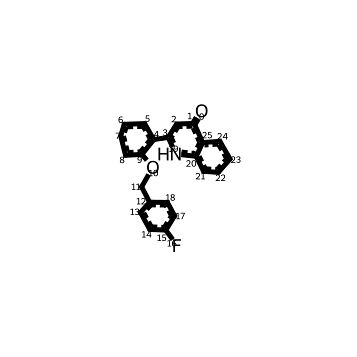 O=c1cc(-c2ccccc2OCc2ccc(F)cc2)[nH]c2ccccc12